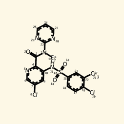 CCN(C(=O)c1ncc(Cl)cc1NS(=O)(=O)c1ccc(Cl)c(C(F)(F)F)c1)c1ncccn1